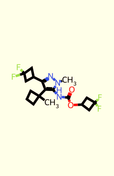 Cn1nc(C2CC(F)(F)C2)c(C2(C)CCC2)c1NC(=O)OC1CC(F)(F)C1